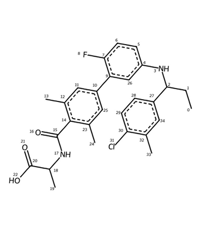 CCC(Nc1ccc(F)c(-c2cc(C)c(C(=O)NC(C)C(=O)O)c(C)c2)c1)c1ccc(Cl)c(C)c1